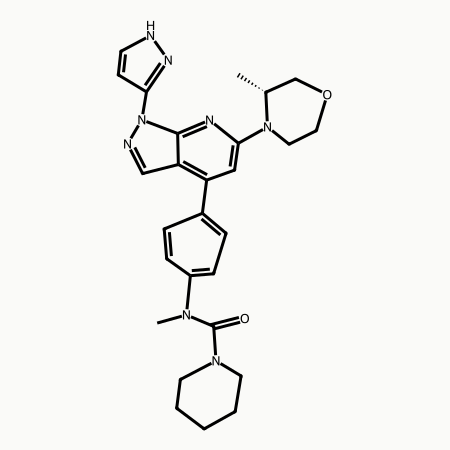 C[C@@H]1COCCN1c1cc(-c2ccc(N(C)C(=O)N3CCCCC3)cc2)c2cnn(-c3cc[nH]n3)c2n1